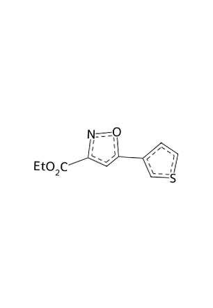 CCOC(=O)c1cc(-c2ccsc2)on1